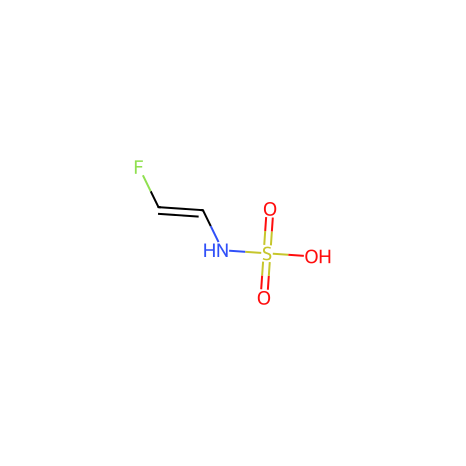 O=S(=O)(O)NC=CF